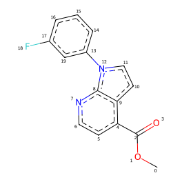 COC(=O)c1ccnc2c1ccn2-c1cccc(F)c1